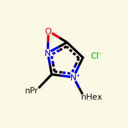 CCCCCC[n+]1cc2n(c1CCC)O2.[Cl-]